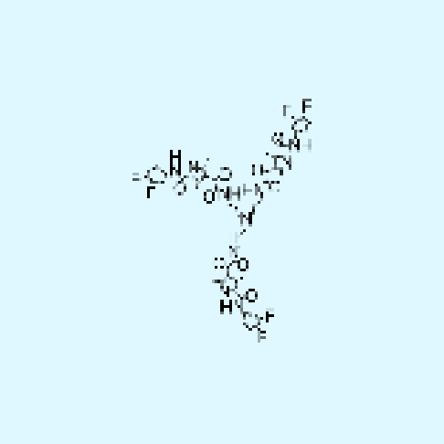 Cc1c(C(=O)C(=O)NCCCN(CCCNC(=O)C(=O)c2c(C)c(C(=O)Nc3ccc(F)c(F)c3)n(C)c2C)CCCNC(=O)C(=O)c2c(C)c(C(=O)Nc3ccc(F)c(F)c3)n(C)c2C)c(C)n(C)c1C(=O)Nc1ccc(F)c(F)c1